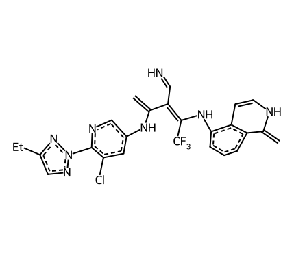 C=C(Nc1cnc(-n2ncc(CC)n2)c(Cl)c1)/C(C=N)=C(/Nc1cccc2c1C=CNC2=C)C(F)(F)F